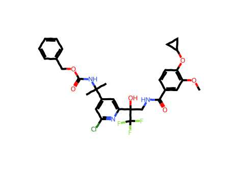 COc1cc(C(=O)NCC(O)(c2cc(C(C)(C)NC(=O)OCc3ccccc3)cc(Cl)n2)C(F)(F)F)ccc1OC1CC1